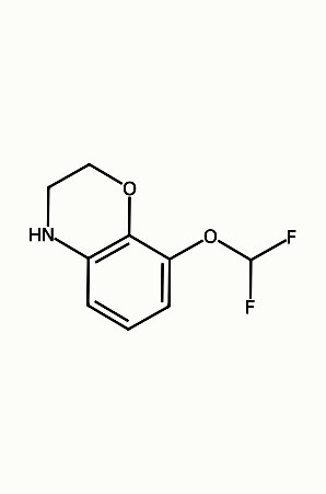 FC(F)Oc1cccc2c1OCCN2